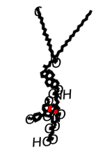 CCCCCCCCCCCCCCCCCCN(CCCCCCCCCCCCCCCCCC)C(=O)CCC(C)C1CCC2C3CCC4CC(OC(=O)NCCCCCC(=O)N5CC(OC(=O)CCC(=O)O)CC5C(OC(c5ccc(OC)cc5)c5ccc(OC)cc5)c5ccccc5)CCC4(C)C3CCC12C